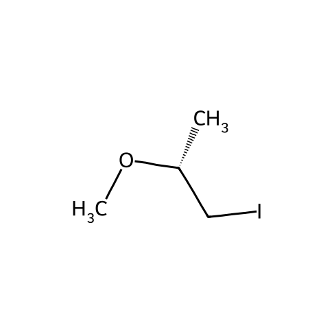 CO[C@H](C)CI